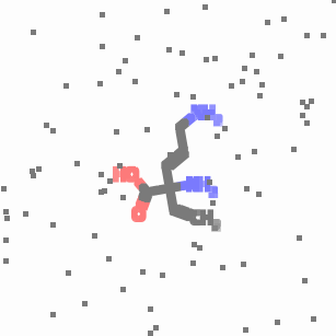 C=CC(N)(C=CCN)C(=O)O